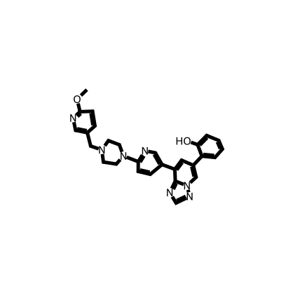 COc1ccc(CN2CCN(c3ccc(-c4cc(-c5ccccc5O)cn5ncnc45)cn3)CC2)cn1